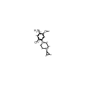 COc1cc(N2CCN(C3CC3)CC2)c(Cl)cc1N